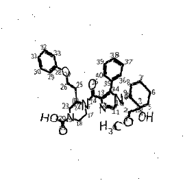 COC[C@]1(O)CCCC[C@H]1n1cnc(C(=O)N2CCN(C(=O)O)C[C@H]2CCOc2ccccc2)c1-c1ccccc1